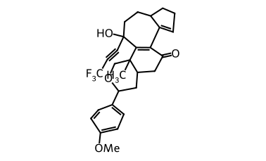 COc1ccc(C2CC3CC(=O)C4=C(C(O)(C#CC(F)(F)F)CCC5CCC=C45)C3(C)CO2)cc1